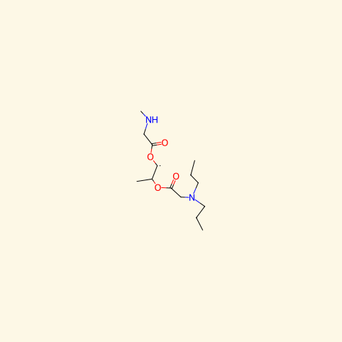 CCCN(CCC)CC(=O)OC(C)[CH]OC(=O)CNC